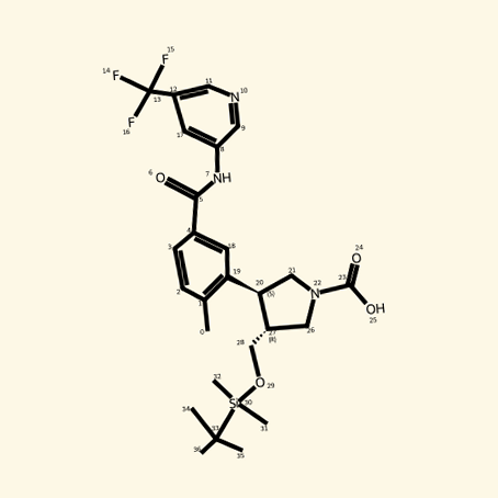 Cc1ccc(C(=O)Nc2cncc(C(F)(F)F)c2)cc1[C@H]1CN(C(=O)O)C[C@@H]1CO[Si](C)(C)C(C)(C)C